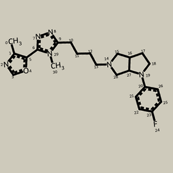 Cc1ncoc1-c1nnc(CCCCN2CC3CCN(c4ccc(F)cc4)C3C2)n1C